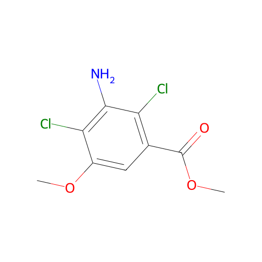 COC(=O)c1cc(OC)c(Cl)c(N)c1Cl